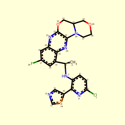 C[C@@H](Nc1ccc(Cl)nc1-c1cncs1)c1cc(F)cc2nc3c(nc12)N1CCOCC1CO3